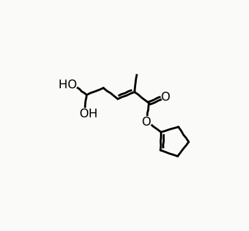 CC(=CCC(O)O)C(=O)OC1=CCCC1